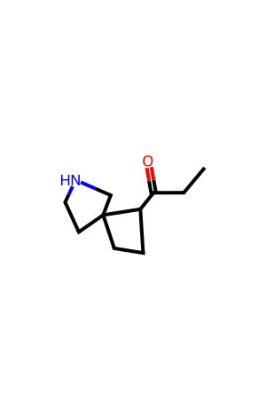 CCC(=O)C1CCC12CCNC2